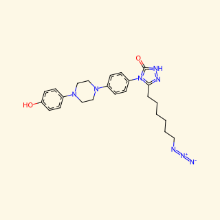 [N-]=[N+]=NCCCCCCc1n[nH]c(=O)n1-c1ccc(N2CCN(c3ccc(O)cc3)CC2)cc1